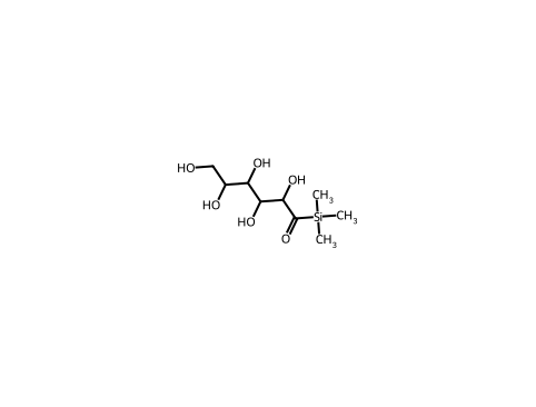 C[Si](C)(C)C(=O)C(O)C(O)C(O)C(O)CO